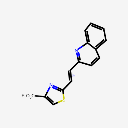 CCOC(=O)c1csc(/C=C/c2ccc3ccccc3n2)n1